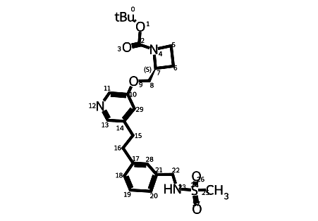 CC(C)(C)OC(=O)N1CC[C@H]1COc1cncc(CCc2cccc(CNS(C)(=O)=O)c2)c1